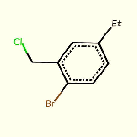 CCc1ccc(Br)c(CCl)c1